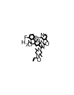 C=CC(=O)N1CC(C)N(c2nc(=O)n(-c3c(C)ccnc3C(C)C)c3nc(-c4cccc(F)c4N)c(Cl)cc23)CC1C